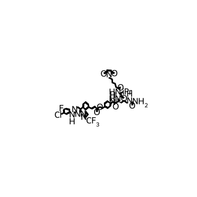 CC(C)C(NC(=O)CCCCCN1C(=O)C=CC1=O)C(=O)N[C@@H](CCCNC(N)=O)C(=O)Nc1ccc(COC(=O)/C=C/c2cccc(-c3cnc(Nc4ccc(F)c(Cl)c4)nc3-n3ccc(C(F)(F)F)n3)c2)cc1